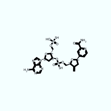 C=C1C[C@H](c2ccnc(C(N)=O)c2)O[C@@H]1COP(=O)(S)O[C@H]1C[C@H](n2cnc3c(N)ncnc32)O[C@@H]1COP(=O)(O)S